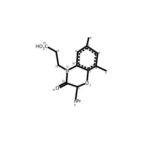 CCCC1Oc2c(C)cc(C)cc2N(CCC(=O)O)C1=O